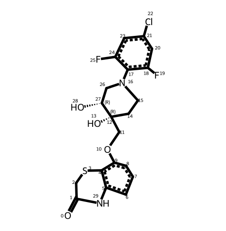 O=C1CSc2c(cccc2OC[C@]2(O)CCN(c3c(F)cc(Cl)cc3F)C[C@H]2O)N1